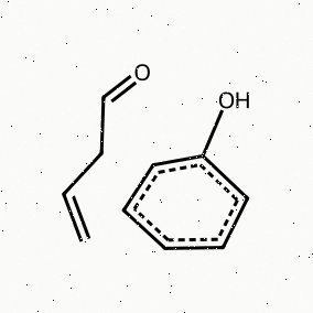 C=CCC=O.Oc1ccccc1